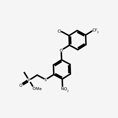 COP(C)(=O)CSc1cc(Oc2ccc(C(F)(F)F)cc2Cl)ccc1[N+](=O)[O-]